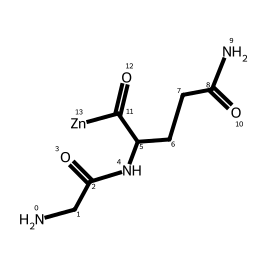 NCC(=O)NC(CCC(N)=O)[C](=O)[Zn]